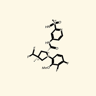 COc1c(N2C[C@@](C)(C(F)F)C[C@@H]2C(=O)Nc2ccnc([S@](C)(=N)=O)c2)ccc(F)c1F